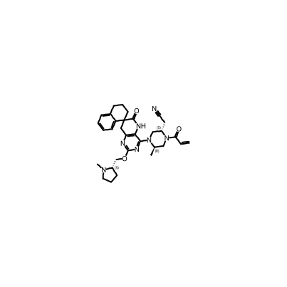 C=CC(=O)N1C[C@@H](C)N(c2nc(OC[C@@H]3CCCN3C)nc3c2NC(=O)C2(CCCc4ccccc42)C3)C[C@@H]1CC#N